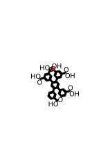 O=C(O)c1cccc(-c2cc(-c3cc(C(=O)O)cc(C(=O)O)c3)c(-c3cc(C(=O)O)cc(C(=O)O)c3)cc2-c2cccc(C(=O)O)c2)c1